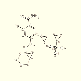 NC(=O)c1cc(C2CC2)c(OCC23CCCCC2C3)cc1F.O=S(=O)(O)C1CC1